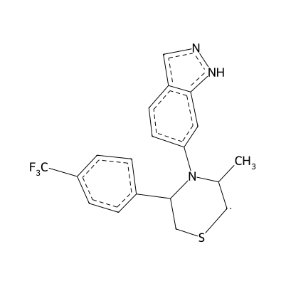 CC1[CH]SCC(c2ccc(C(F)(F)F)cc2)N1c1ccc2cn[nH]c2c1